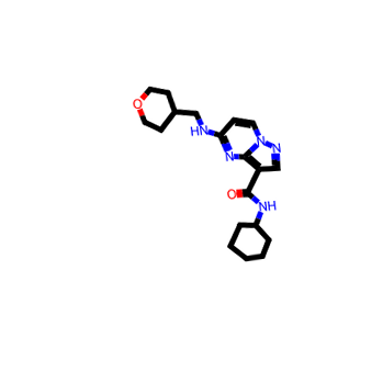 O=C(NC1CCCCC1)c1cnn2ccc(NCC3CCOCC3)nc12